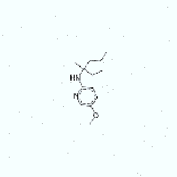 CCCC(C)(CC)Nc1ccc(OC)cn1